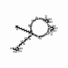 CC(C)(C)C(=O)CCCCCCCCCCC(=O)NC1(COCCC(=O)NCCCNC(=O)CCCCO[C@H]2OC(CO)[C@@H](O)C(O)C2O)COCCC(=O)NCCCNCC(=O)CCCCO[C@H]2OC(COC(O[C@H]3OC(CO)[C@@H](O)C(O)C3O)CCCC(=O)CNCCCNC(=O)CCOC1)[C@@H](O)C(O)C2O